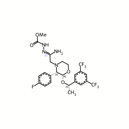 COC(=O)N/N=C(\N)CN1CCO[C@H](O[C@@H](C)c2cc(C(F)(F)F)cc(C(F)(F)F)c2)[C@@H]1c1ccc(F)cc1